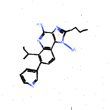 CCCc1nc2c(N)nc3c(C(C)C)c(-c4cccnc4)ccc3c2n1N